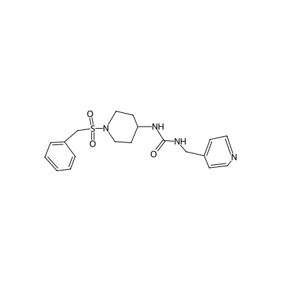 O=C(NCc1ccncc1)NC1CCN(S(=O)(=O)Cc2ccccc2)CC1